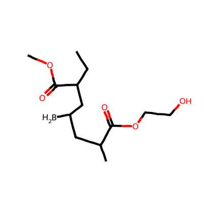 BC(CC(C)C(=O)OCCO)CC(CC)C(=O)OC